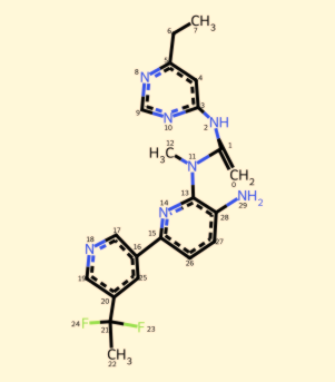 C=C(Nc1cc(CC)ncn1)N(C)c1nc(-c2cncc(C(C)(F)F)c2)ccc1N